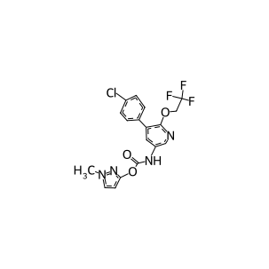 Cn1ccc(OC(=O)Nc2cnc(OCC(F)(F)F)c(-c3ccc(Cl)cc3)c2)n1